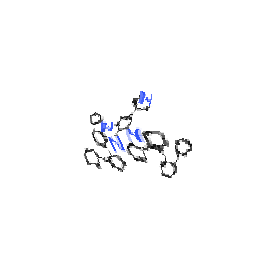 N#Cc1c(-n2c3ccccc3c3ccc(-c4ccccc4-c4ccccc4)cc32)cc(-c2ccncc2)cc1-n1c2ccccc2c2c(-c3ccccc3-c3ccccc3)cccc21